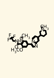 COc1cc(-c2cnc3cc(C4CCCN(C)C4)ccn23)cc(OC)c1C(=O)NCC(F)(F)F